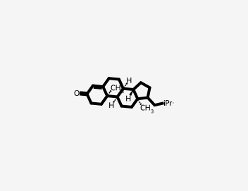 C[C](C)CC1CC[C@H]2[C@@H]3CCC4=CC(=O)CC[C@]4(C)[C@@H]3CC[C@]12C